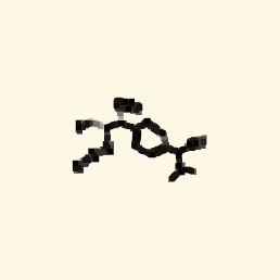 CO[C@H](c1ccc(C(O)N(C)C)cc1)[C@@H](CF)N=[N+]=[N-]